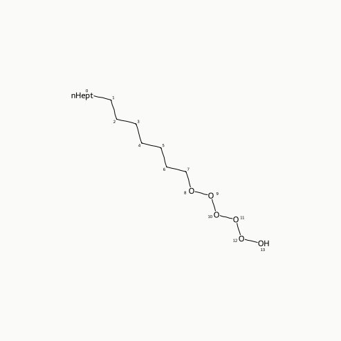 CCCCCCCCCCCCCCOOOOOO